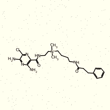 C[N+](C)(CCCCNC(=O)CCc1ccccc1)CCNC(=O)c1nc(Cl)c(N)nc1N